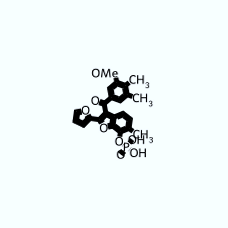 COc1cc(C(=O)c2c(-c3ccco3)oc3c(OP(=O)(O)O)c(C)ccc23)cc(C)c1C